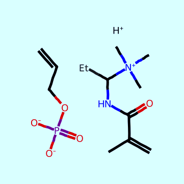 C=C(C)C(=O)NC(CC)[N+](C)(C)C.C=CCOP(=O)([O-])[O-].[H+]